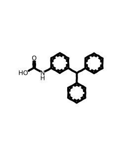 O=C(O)Nc1cccc(C(c2ccccc2)c2ccccc2)c1